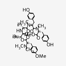 CC[C@@H](C)[C@@H](OC(=O)[C@H](Cc1ccc(OC)cc1)N(C)C)C(=O)N[C@@H](C(=O)N(C)[C@@H](Cc1ccc(O)cc1)C(=O)N(C)[C@H](Cc1ccc(O)cc1)C(=O)OC)C(C)C